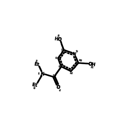 CCN(CC)C(=O)c1cc(O)nc(O)c1